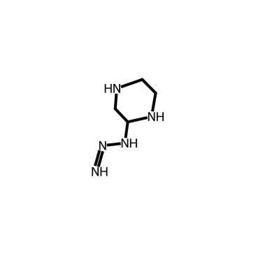 N=NNC1CNCCN1